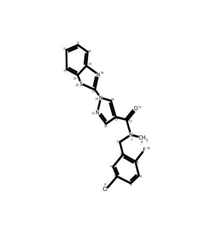 CN(Cc1cc(Cl)ccc1F)C(=O)c1cnn(-c2nc3ccccc3s2)c1